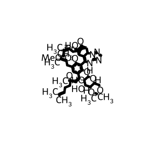 COC(=O)/C(C)=C\CC1(O)C(=O)C2CC(C(C)C)C13Oc1c(CC=C(C)C)c4c(c(O[C@H]5O[C@H]6COC(C)(C)O[C@@H]6[C@@H](O)[C@@H]5O)c1C1=C3C2n2ncnc2N1)C=CC(C)(CCC=C(C)C)O4